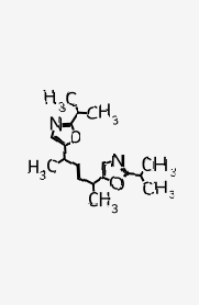 CC(C)c1ncc(C(C)CCC(C)c2cnc(C(C)C)o2)o1